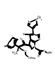 COCOC(C)(C(=O)c1cn(C(=O)OC(C)(C)C)c2ncc(-c3cnn(C)c3)c(F)c12)c1cccc(F)c1